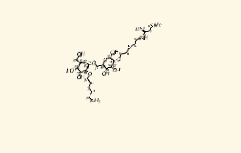 CSCC(=N)NCCSCCO[C@@H]1[C@@H](O)[C@H](O)[C@@H](CO[C@H]2O[C@H](CO)[C@@H](O)[C@H](O)[C@H]2OCCSCCN)O[C@@H]1O